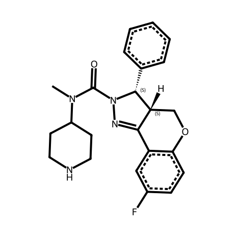 CN(C(=O)N1N=C2c3cc(F)ccc3OC[C@H]2[C@H]1c1ccccc1)C1CCNCC1